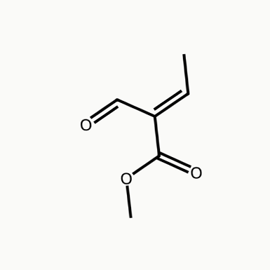 C/C=C(\C=O)C(=O)OC